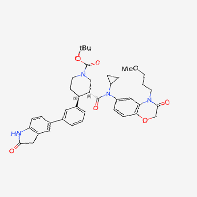 COCCCN1C(=O)COc2ccc(N(C(=O)[C@H]3CN(C(=O)OC(C)(C)C)CC[C@@H]3c3cccc(-c4ccc5c(c4)CC(=O)N5)c3)C3CC3)cc21